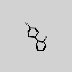 Fc1[c]cccc1-c1ccc(Br)cc1